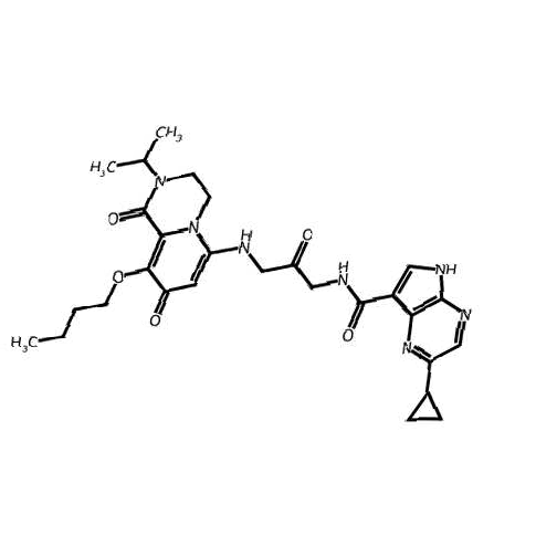 CCCCOc1c2n(c(NCC(=O)CNC(=O)c3c[nH]c4ncc(C5CC5)nc34)cc1=O)CCN(C(C)C)C2=O